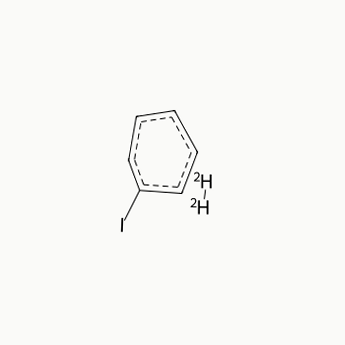 Ic1ccccc1.[2H][2H]